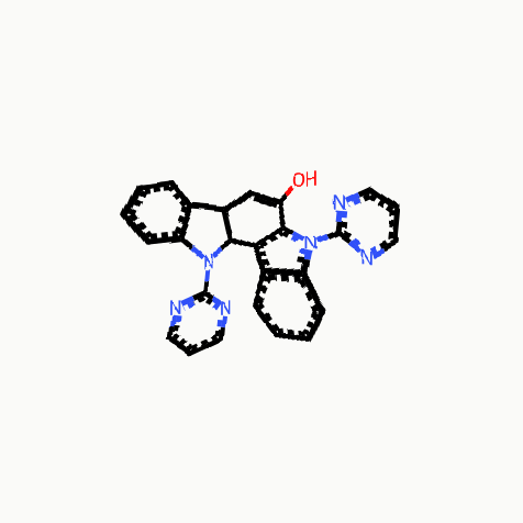 OC1=CC2c3ccccc3N(c3ncccn3)C2c2c1n(-c1ncccn1)c1ccccc21